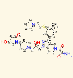 NC(=O)C(=O)N1CCc2c(c(-c3ccc(C(F)(F)F)c(SCCN4CCCC4)c3)nn2C[C@H](O)CN2CCC(N3C[C@H](O)CC3=O)CC2)C1